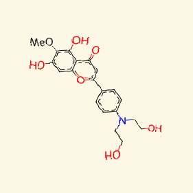 COc1c(O)cc2oc(-c3ccc(N(CCO)CCO)cc3)cc(=O)c2c1O